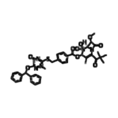 CO[C@H]1C(=O)N2C(C(=O)C(C)(C)C)=C(C)C(OC(=O)c3ccc(CSc4nc(=O)c(OC(c5ccccc5)c5ccccc5)nn4C)cc3)S(=O)(=O)[C@@H]12